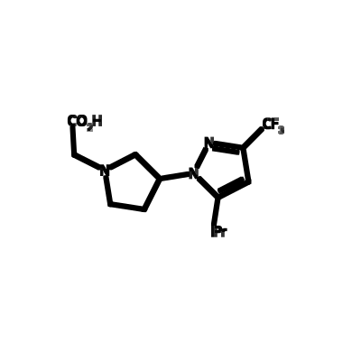 CC(C)c1cc(C(F)(F)F)nn1C1CCN(CC(=O)O)C1